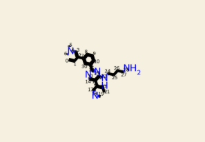 C=C/C(=C\N(C)C)c1cccc(-c2ncc(C(/C=N\C)=C/C)c(NCCCCN)n2)c1